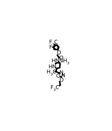 CC(c1nnc(OCCC(F)(F)F)o1)C1CCC([SiH3])(NC(=O)COc2ccc(C(F)(F)F)c(F)c2)CN1